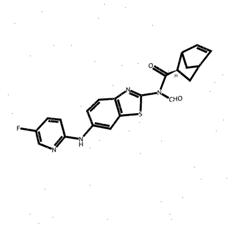 O=CN(C(=O)[C@@H]1CC2C=CC1C2)c1nc2ccc(Nc3ccc(F)cn3)cc2s1